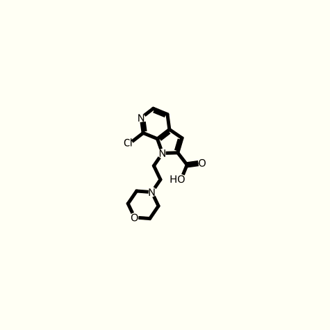 O=C(O)c1cc2ccnc(Cl)c2n1CCN1CCOCC1